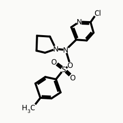 Cc1ccc(S(=O)(=O)ON(c2ccc(Cl)nc2)N2CCCC2)cc1